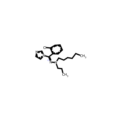 CCCCCCN(CCC)/N=C(\c1ccccc1Cl)n1ccnc1